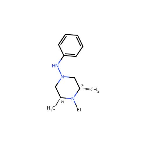 CCN1[C@H](C)CN(Nc2ccccc2)C[C@@H]1C